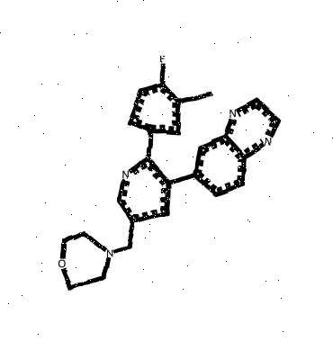 Cc1cc(-c2ncc(CN3CCOCC3)cc2-c2ccc3nccnc3c2)ccc1F